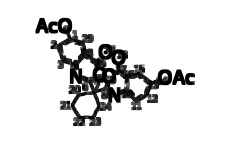 CC(=O)Oc1ccc2nc(C3(c4nc5ccc(OC(C)=O)cc5c(=O)o4)CCCCC3)oc(=O)c2c1